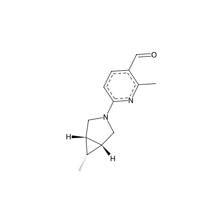 Cc1nc(N2C[C@@H]3[C@H](C)[C@@H]3C2)ccc1C=O